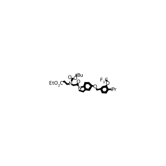 CCOC(=O)CCN(CC(=O)N1CCc2cc(OCc3ccc(C(C)C)c(OC(F)(F)F)c3)ccc21)C(=O)OC(C)(C)C